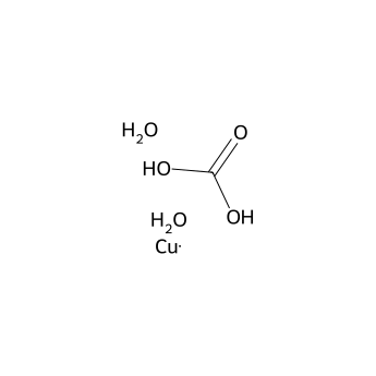 O.O.O=C(O)O.[Cu]